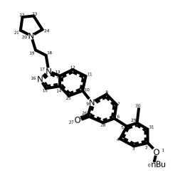 CCCCOc1ccc(-c2ccn(-c3ccc4c(cnn4CCN4CCCC4)c3)c(=O)c2)c(C)c1